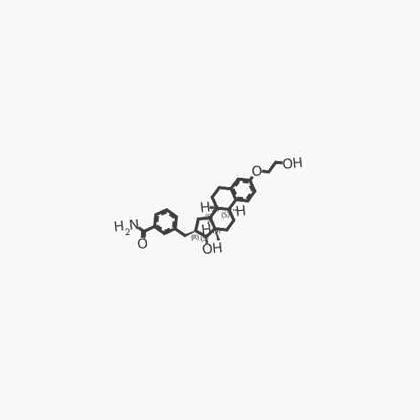 C[C@]12CC[C@@H]3c4ccc(OCCO)cc4CC[C@H]3[C@@H]1C[C@H](Cc1cccc(C(N)=O)c1)[C@@H]2O